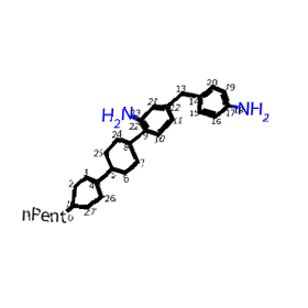 CCCCCC1CCC(C2CCC(c3ccc(Cc4ccc(N)cc4)cc3N)CC2)CC1